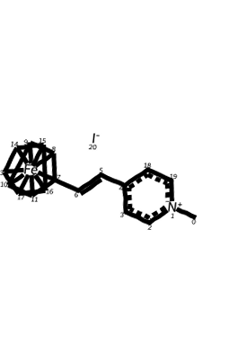 C[n+]1ccc(C=C[C]23[CH]4[CH]5[CH]6[CH]2[Fe]56432789[CH]3[CH]2[CH]7[CH]8[CH]39)cc1.[I-]